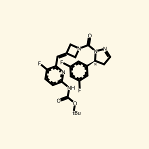 CC(C)(C)OC(=O)Nc1ccc(F)c(C=C2CN(C(=O)N3N=CC[C@H]3c3cc(F)cc(F)c3)C2)n1